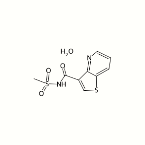 CS(=O)(=O)NC(=O)c1csc2cccnc12.O